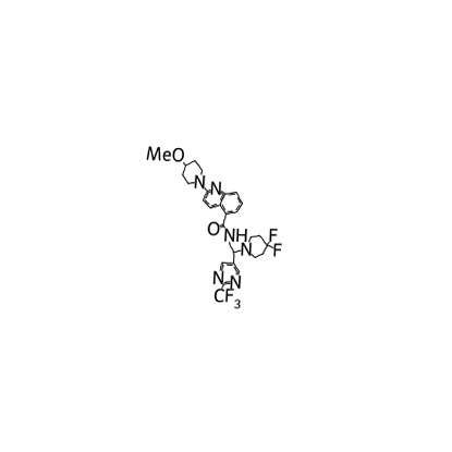 COC1CCN(c2ccc3c(C(=O)NCC(c4cnc(C(F)(F)F)nc4)N4CCC(F)(F)CC4)cccc3n2)CC1